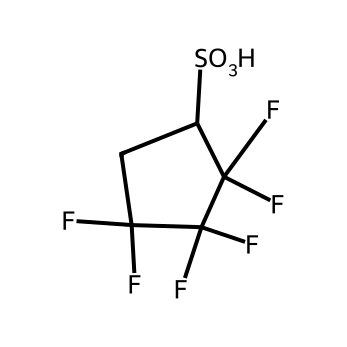 O=S(=O)(O)C1CC(F)(F)C(F)(F)C1(F)F